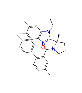 CCn1c([C@]2(C)CCCN2C(=O)c2cc(C)ccc2-c2ccc(C)cc2)nc2cc(C)c(C)cc21